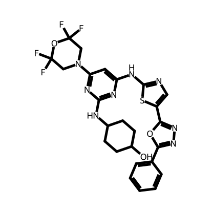 OC1CCC(Nc2nc(Nc3ncc(-c4nnc(-c5ccccc5)o4)s3)cc(N3CC(F)(F)OC(F)(F)C3)n2)CC1